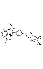 CCC1(C)Oc2ncnc(NC)c2N=C1c1ccc(C2CCC(CP(=O)(O)C3CC3)CC2)cc1